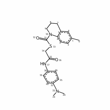 Cc1ccc2c(c1)CCCN2C(=O)SCC(=O)Nc1ccc(N(C)C)cc1